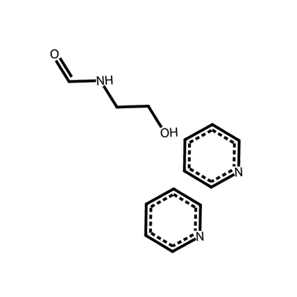 O=CNCCO.c1ccncc1.c1ccncc1